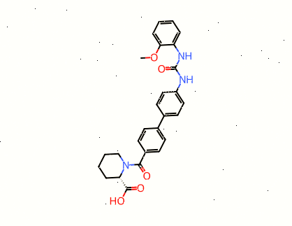 COc1ccccc1NC(=O)Nc1ccc(-c2ccc(C(=O)N3CCCC[C@H]3C(=O)O)cc2)cc1